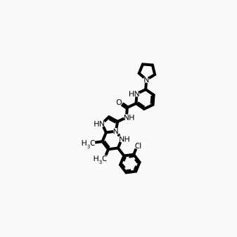 CC1=C(C)C2NC=C(NC(=O)C3=CC=CC(N4CCCC4)N3)N2NC1c1ccccc1Cl